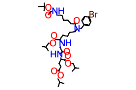 CC(C)COC(=O)CCC(NC(=O)CNC(CCCCN(Cc1ccc(Br)cc1)C(=O)CCCCCNC(=O)OC(C)(C)C)C(=O)OCC(C)C)C(=O)OCC(C)C